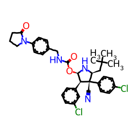 CC(C)(C)C[C@@H]1N[C@H](OC(=O)NCc2ccc(N3CCCC3=O)cc2)[C@H](c2cccc(Cl)c2)[C@@]1(C#N)c1ccc(Cl)cc1